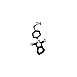 O=C1c2ccccc2C(=O)N1[C@H]1CC[C@H](CO)CC1